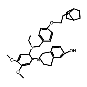 CCN(Cc1ccc(OCCN2C3CCC2CC3)cc1)C1C=C(OC)C(OC)=CC1[C@@H]1CCc2cc(O)ccc2C1